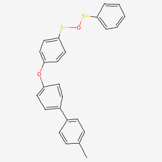 Cc1ccc(-c2ccc(Oc3ccc(SOSc4ccccc4)cc3)cc2)cc1